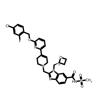 CS(=O)(=O)NC(=O)c1ccc2nc(CN3CC=C(c4cccc(OCc5ccc(Cl)cc5F)n4)CC3)n(C[C@@H]3CCO3)c2c1